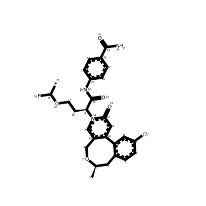 C[C@@H]1Cc2ccc(Cl)cc2-c2cc(=O)n([C@@H](CCOC(F)F)C(=O)Nc3ccc(C(N)=O)cc3)cc2CO1